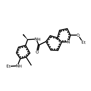 CCNc1ccc([C@@H](C)NC(=O)c2ccc3nc(OCC)ccc3c2)cc1C